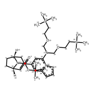 CC(C)(C)OC(=O)N1[C@@H]2CC[C@H]1C=C(c1cc(N(COCC[Si](C)(C)C)COCC[Si](C)(C)C)n3nccc3n1)C2